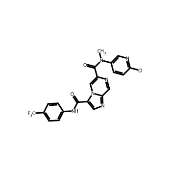 CN(C(=O)c1cn2c(C(=O)Nc3ccc(C(F)(F)F)cc3)cnc2cn1)c1ccc(Cl)nc1